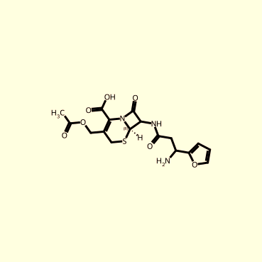 CC(=O)OCC1=C(C(=O)O)N2C(=O)C(NC(=O)CC(N)c3ccco3)[C@H]2SC1